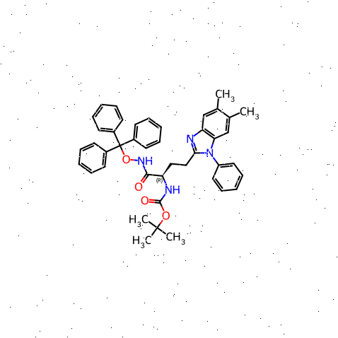 Cc1cc2nc(CC[C@@H](NC(=O)OC(C)(C)C)C(=O)NOC(c3ccccc3)(c3ccccc3)c3ccccc3)n(-c3ccccc3)c2cc1C